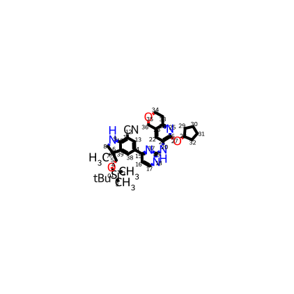 CC(C)(C)[Si](C)(C)OC[C@@]1(C)CNc2c(C#N)cc(-c3ccnc(Nc4cc5c(nc4OC4CCCC4)CCOC5)n3)cc21